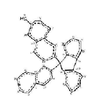 Oc1ccc2cc(C3(c4ccc5ccccc5c4)c4ccccc4-c4ccccc43)ccc2c1